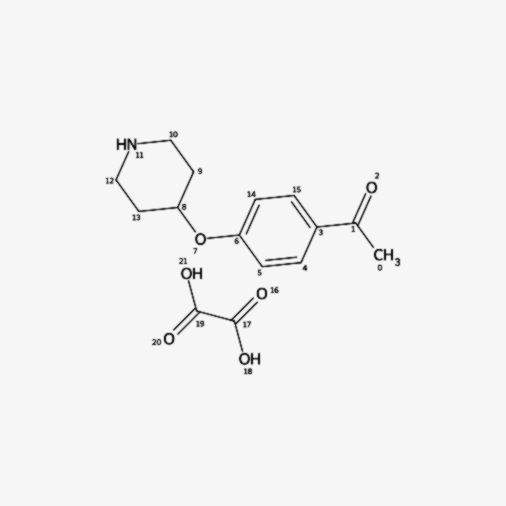 CC(=O)c1ccc(OC2CCNCC2)cc1.O=C(O)C(=O)O